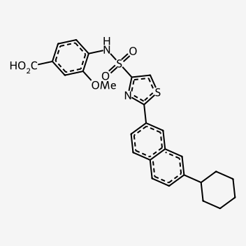 COc1cc(C(=O)O)ccc1NS(=O)(=O)c1csc(-c2ccc3ccc(C4CCCCC4)cc3c2)n1